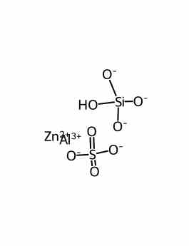 O=S(=O)([O-])[O-].[Al+3].[O-][Si]([O-])([O-])O.[Zn+2]